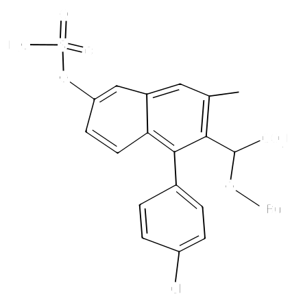 Cc1cc2cc(OS(=O)(=O)C(F)(F)F)ccc2c(-c2ccc(Cl)cc2)c1C(OC(C)(C)C)C(=O)O